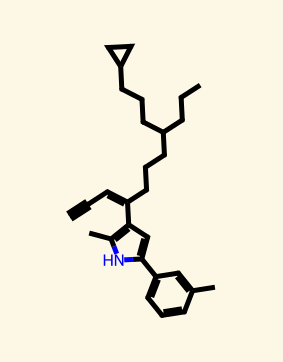 C#C/C=C(/CCCC(CCC)CCCC1CC1)c1cc(-c2cccc(C)c2)[nH]c1C